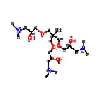 CCC(COCC(O)CN(C)C)(COCC(O)CN(C)C)COCC(O)CN(C)C